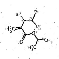 C=C(C(=O)OC(C)C)C(Br)C(Br)Br